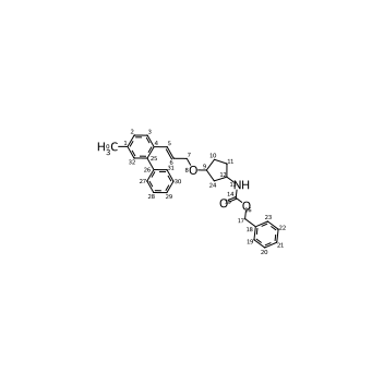 Cc1ccc(/C=C/COC2CCC(NC(=O)OCc3ccccc3)C2)c(-c2ccccc2)c1